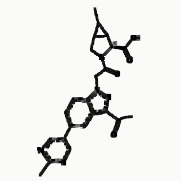 CC(=O)c1nn(CC(=O)N2CC3C(C)C3[C@H]2C(=O)O)c2ccc(-c3cnc(C)nc3)cc12